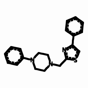 c1ccc(-c2csc(CN3CCN(c4ccccc4)CC3)n2)cc1